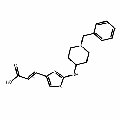 O=C(O)/C=C/c1csc(NC2CCN(Cc3ccccc3)CC2)n1